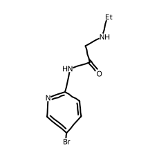 CCNCC(=O)Nc1ccc(Br)cn1